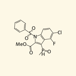 COC(=O)c1c([PH](C)=O)c2c(F)c(Cl)ccc2n1S(=O)(=O)c1ccccc1